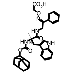 C[C@](Cc1c[nH]c2ccccc12)(NC(=O)OC1C2CC3CC(C2)CC1C3)C(=O)NCC(=NOCC(=O)O)c1ccccc1